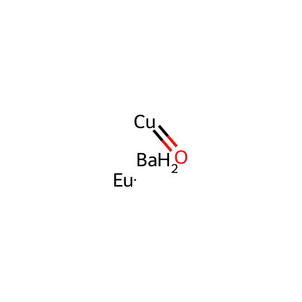 [BaH2].[Eu].[O]=[Cu]